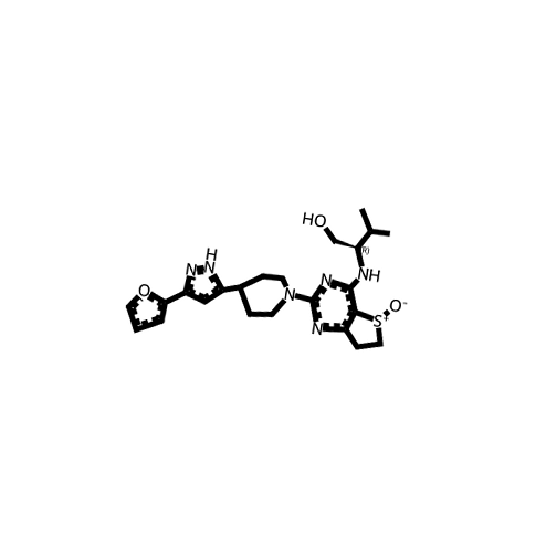 CC(C)[C@H](CO)Nc1nc(N2CCC(c3cc(-c4ccco4)n[nH]3)CC2)nc2c1[S+]([O-])CC2